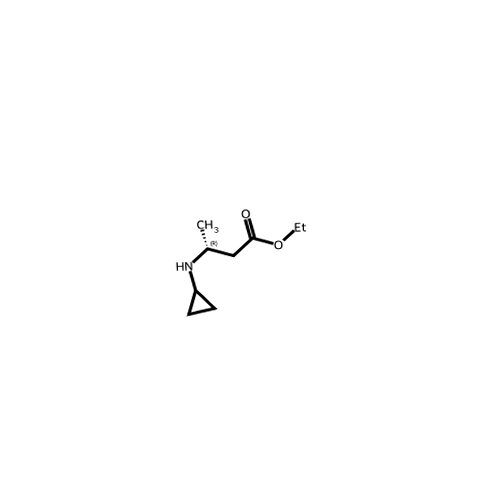 CCOC(=O)C[C@@H](C)NC1CC1